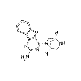 Nc1nc(N2C[C@@H]3C[C@H]2CN3)c2oc3ccccc3c2n1